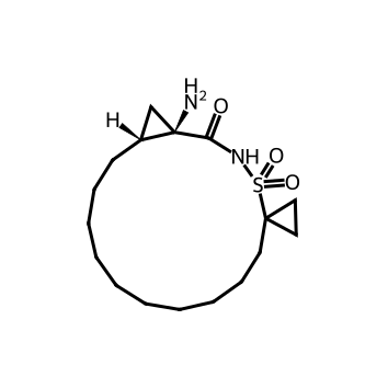 N[C@]12C[C@H]1CCCCCCCCCCC1(CC1)S(=O)(=O)NC2=O